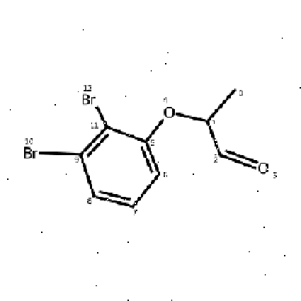 CC([C]=O)Oc1cccc(Br)c1Br